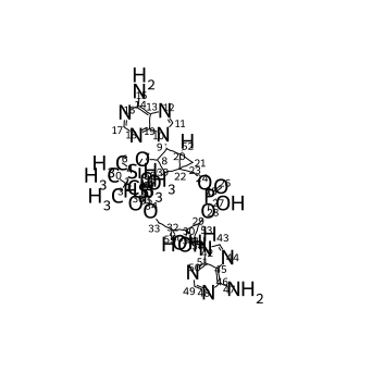 CC(C)(C)[Si](C)(C)OC1[C@H](n2cnc3c(N)ncnc32)[C@H]2CC23COP(=O)(O)O[C@@H]2[C@H](O)[C@@H](CO[P@@](=O)(S)O[C@@H]13)O[C@H]2n1cnc2c(N)ncnc21